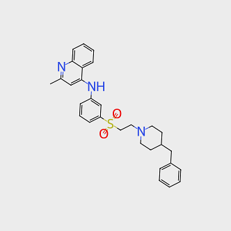 Cc1cc(Nc2cccc(S(=O)(=O)CCN3CCC(Cc4ccccc4)CC3)c2)c2ccccc2n1